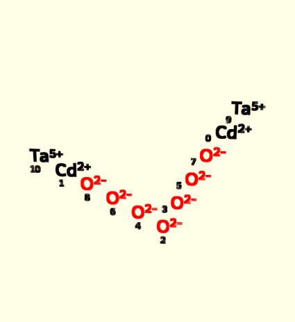 [Cd+2].[Cd+2].[O-2].[O-2].[O-2].[O-2].[O-2].[O-2].[O-2].[Ta+5].[Ta+5]